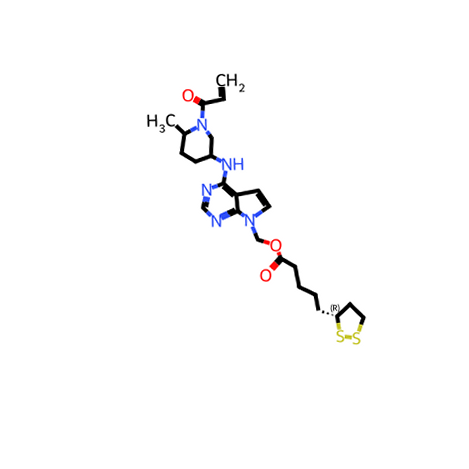 C=CC(=O)N1CC(Nc2ncnc3c2ccn3COC(=O)CCCC[C@@H]2CCSS2)CCC1C